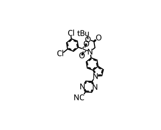 CC(C)(C)OC(=O)CN(c1ccc2c(ccn2-c2cnc(C#N)cn2)c1)S(=O)(=O)c1cc(Cl)cc(Cl)c1